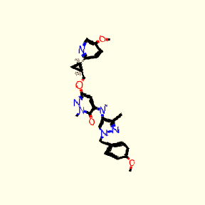 COc1ccc(Cn2cc(N(C)c3cc(OC[C@H]4C[C@@H]4c4ccc(OC)cn4)nn(C)c3=O)c(C)n2)cc1